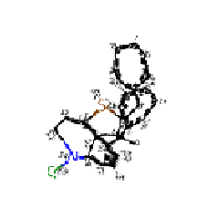 CC1C(Cc2ccccc2)SC2=CCN(Cl)C3=CC=CC(c4ccccc4)C231